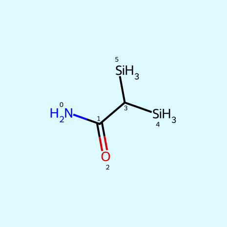 NC(=O)C([SiH3])[SiH3]